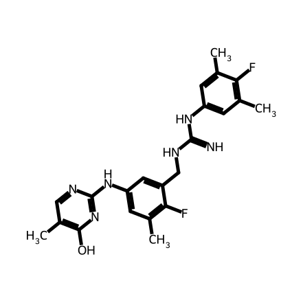 Cc1cnc(Nc2cc(C)c(F)c(CNC(=N)Nc3cc(C)c(F)c(C)c3)c2)nc1O